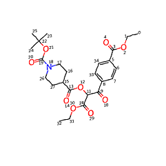 CCOC(=O)c1ccc(C(=O)C(OC(=O)C2CCN(C(=O)OC(C)(C)C)CC2)C(=O)OCC)cc1